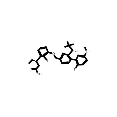 CC[C@H](CC(=O)O)c1cccc(OCc2ccc(-c3cc(OC)ccc3F)c([C@@H](C)C(C)(C)C)c2)c1F